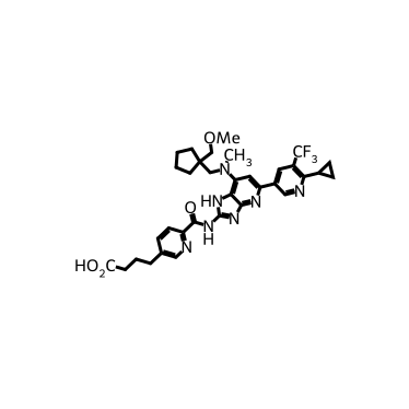 COCC1(CN(C)c2cc(-c3cnc(C4CC4)c(C(F)(F)F)c3)nc3nc(NC(=O)c4ccc(CCCC(=O)O)cn4)[nH]c23)CCCC1